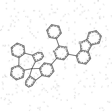 c1ccc(-c2nc(-c3ccc4c(c3)C3(c5ccccc5-c5ccccc5-c5ccccc53)c3ccccc3-4)cc(-c3cccc4c3oc3ccccc34)n2)cc1